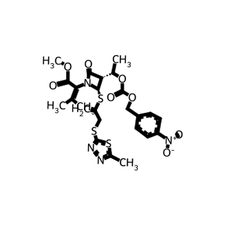 C=C(CSc1nnc(C)s1)S[C@@H]1[C@@H](C(C)OC(=O)OCc2ccc([N+](=O)[O-])cc2)C(=O)N1C(C(=O)OC)=C(C)C